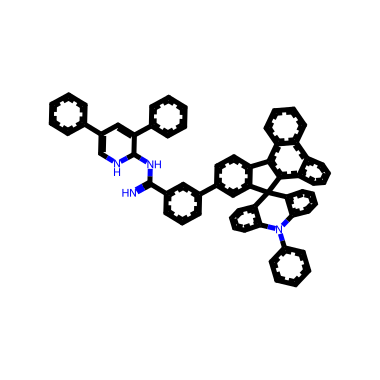 N=C(NC1NC=C(c2ccccc2)C=C1c1ccccc1)c1cccc(-c2ccc3c(c2)C2(c4ccccc4N(c4ccccc4)c4ccccc42)c2c-3c3ccccc3c3ccccc23)c1